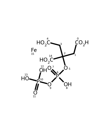 O=C(O)CC(CC(=O)O)(OP(=O)(O)OP(=O)(O)O)C(=O)O.[Fe]